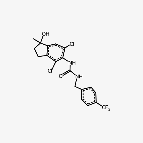 CC1(O)CCc2c1cc(Cl)c(NC(=O)NCc1ccc(C(F)(F)F)cc1)c2Cl